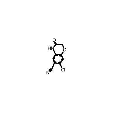 N#Cc1cc2c(cc1Cl)OCC(=O)N2